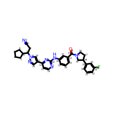 N#CCC(C1CCCC1)n1cc(-c2ccnc(Nc3cccc(C(=O)N4CCC(c5cccc(F)c5)C4)c3)n2)cn1